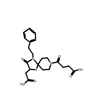 O=C(O)CCC(=O)N1CCC2(CC1)SC(CC(=O)O)C(=O)N2CCc1ccccc1